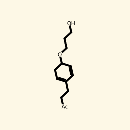 CC(=O)CCC1=CCC(OCCCO)C=C1